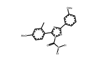 CCN(CC)C(=O)n1nc(-c2cccc(OC)c2)nc1-c1ccc(OC)cc1C